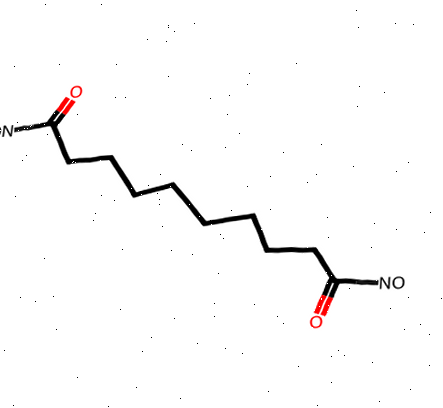 O=NC(=O)CCCCCCCCC(=O)N=O